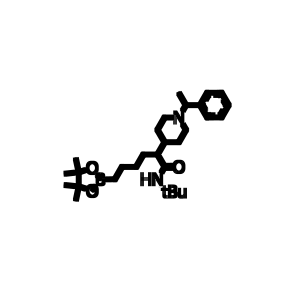 CC(c1ccccc1)N1CCC(C(CCCCB2OC(C)(C)C(C)(C)O2)C(=O)NC(C)(C)C)CC1